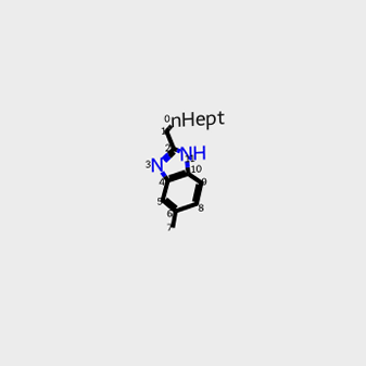 CCCCCCCCc1nc2cc(C)ccc2[nH]1